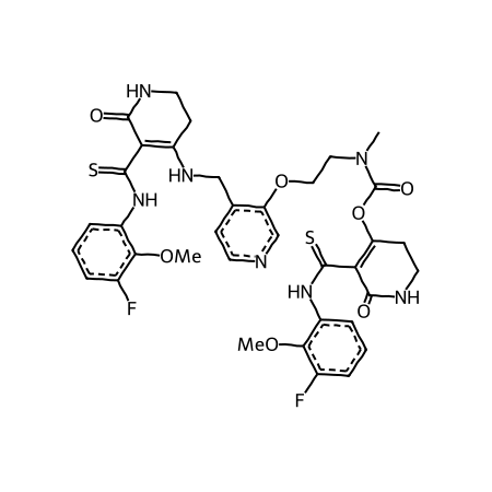 COc1c(F)cccc1NC(=S)C1=C(NCc2ccncc2OCCN(C)C(=O)OC2=C(C(=S)Nc3cccc(F)c3OC)C(=O)NCC2)CCNC1=O